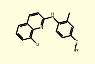 Cc1cc(OC(C)C)ccc1Nc1ccc2cccc(Cl)c2n1